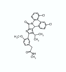 CNC(=O)Cc1ccc(OC)c(-c2nc3c(n2C(C)C)C2c4ccc(Cl)cc4-c4c(Cl)cccc4N2C3=O)c1